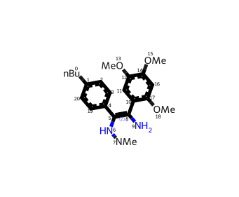 CCCCc1ccc(/C(NNC)=C(/N)c2cc(OC)c(OC)cc2OC)cc1